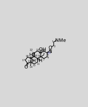 CNCCO/N=C1/CC[C@]2(C)[C@H]3CC[C@]4(C)C(=O)CC[C@H]4[C@@H]3[C@H](C)C[C@@]2(O)C1